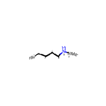 CCCCCCCCN[N]C